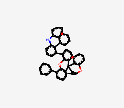 c1ccc(Nc2cccc(-c3cccc4c3Oc3c(-c5ccccc5)cccc3C43c4ccccc4Oc4ccccc43)c2-c2ccccc2)cc1